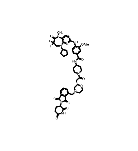 COc1cc(C(=O)NC2CCN(C(=O)C[C@@H]3CN(Cc4cccc5c4C(=O)N(C4CCC(=O)NC4=O)C5=O)CCO3)CC2)ccc1Nc1ncc2c(n1)N(C1CCCC1)CC(F)(F)C(=O)N2C